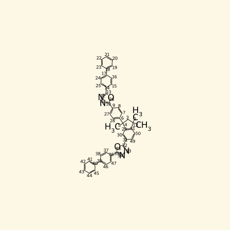 CC1(C)CC(C)(c2ccc(-c3nnc(-c4ccc(-c5ccccc5)cc4)o3)cc2)c2cc(-c3nnc(-c4ccc(-c5ccccc5)cc4)o3)ccc21